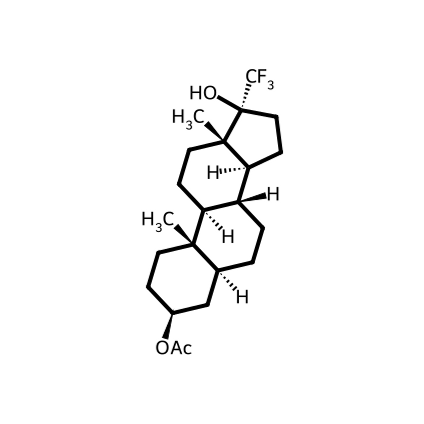 CC(=O)O[C@H]1CC[C@@]2(C)[C@@H](CC[C@@H]3[C@@H]2CC[C@@]2(C)[C@H]3CC[C@@]2(O)C(F)(F)F)C1